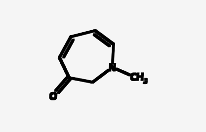 CN1C=CC=CC(=O)C1